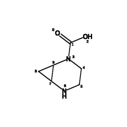 O=C(O)N1CCNC2CC21